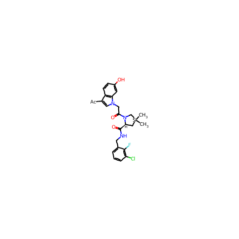 CC(=O)c1cn(CC(=O)N2C[Si](C)(C)C[C@H]2C(=O)NCc2cccc(Cl)c2F)c2cc(O)ccc12